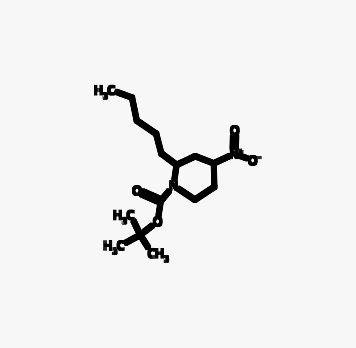 CCCCCC1CC([N+](=O)[O-])CCN1C(=O)OC(C)(C)C